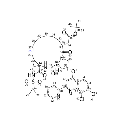 COc1ccc2c(O[C@@H]3C[C@H]4C(=O)N[C@]5(C(=O)NS(=O)(=O)C6CC6)CC5/C=C\CCCCC[C@H](CC(=O)OC(C)(C)C)C(=O)N4C3)cc(-c3ccccn3)nc2c1Cl